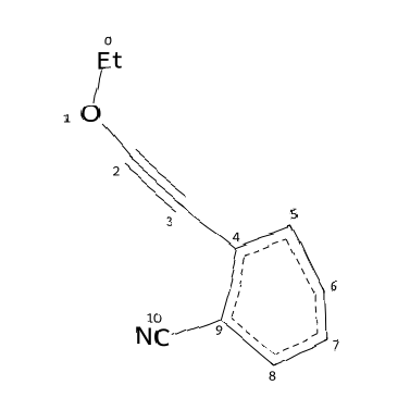 CCOC#Cc1ccccc1C#N